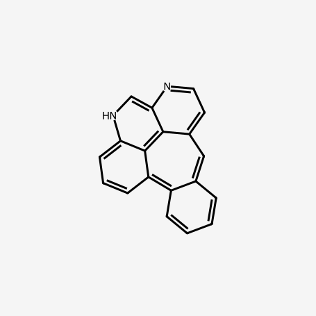 c1ccc2c(c1)cc1ccnc3c[nH]c4cccc2c4=c13